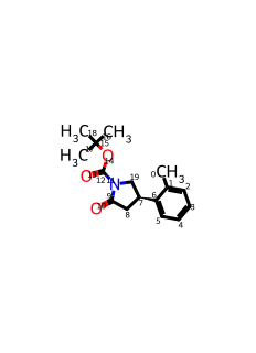 Cc1ccccc1[C@H]1CC(=O)N(C(=O)OC(C)(C)C)C1